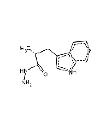 C[C@H](Cc1c[nH]c2ccccc12)C(=O)NN